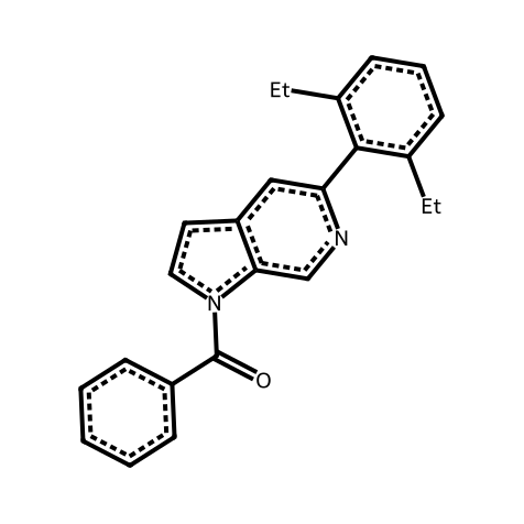 CCc1cccc(CC)c1-c1cc2ccn(C(=O)c3ccccc3)c2cn1